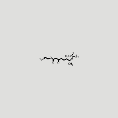 C=CCOC(=O)CC(=O)CCC[C@@H](C)O[Si](C)(C)C(C)(C)C